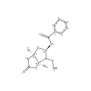 O=C1C[C@@H]2C(CO)[C@H](OC(=O)c3ccccc3)C[C@@H]2O1